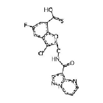 O=C(NCc1oc2c(C(O)=S)cc(F)cc2c1Cl)c1cnn2cccnc12